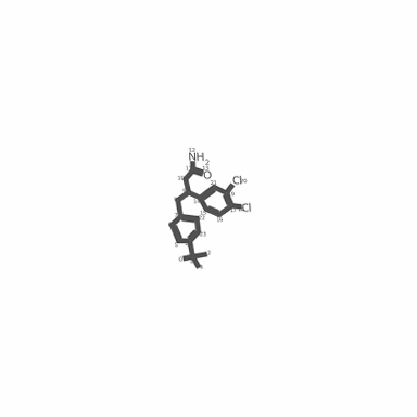 CC(C)(C)c1ccc(CC(CC(N)=O)c2ccc(Cl)c(Cl)c2)cc1